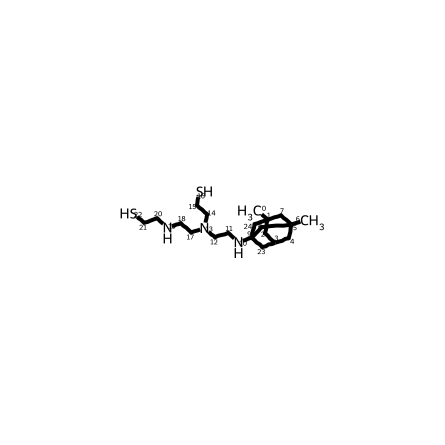 CC12CC3CC(C)(C1)CC(NCCN(CCS)CCNCCS)(C3)C2